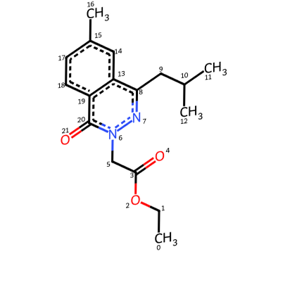 CCOC(=O)Cn1nc(CC(C)C)c2cc(C)ccc2c1=O